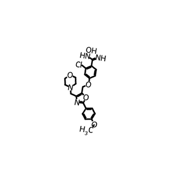 COc1ccc(-c2nc(CN3CCOCC3)c(COc3ccc(C(=N)NO)c(Cl)c3)o2)cc1